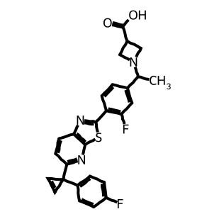 CC(c1ccc(-c2nc3ccc(C4(c5ccc(F)cc5)C=C4)nc3s2)c(F)c1)N1CC(C(=O)O)C1